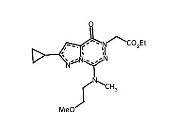 CCOC(=O)Cn1nc(N(C)CCOC)n2nc(C3CC3)cc2c1=O